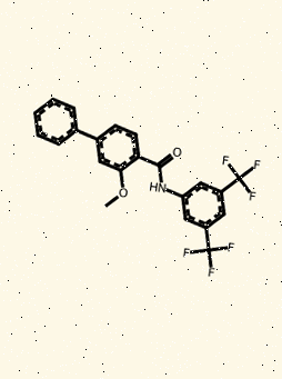 COc1cc(-c2ccccc2)ccc1C(=O)Nc1cc(C(F)(F)F)cc(C(F)(F)F)c1